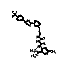 Cc1ccc(C(C)C)c(NC(=S)NC(=O)NCCCc2cccc(-c3ncn(-c4ccc(C(F)(F)F)cc4)n3)c2)c1